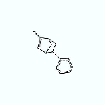 ClC1=CC2CC1CC2c1ccccc1